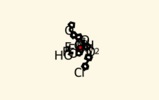 NC1CC2CCC(C1)N2C(=O)[C@@H]1C[C@H](Oc2ccc(-c3ccc(Cl)cc3)cc2)CCN1S(=O)(=O)c1ccc2cc(OC3CCCC3)ccc2c1.O=C(O)C(F)(F)F